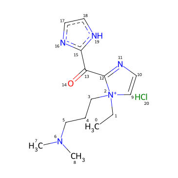 CC[N+]1(CCCN(C)C)C=CN=C1C(=O)c1ncc[nH]1.Cl